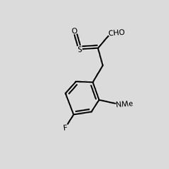 CNc1cc(F)ccc1CC(C=O)=S=O